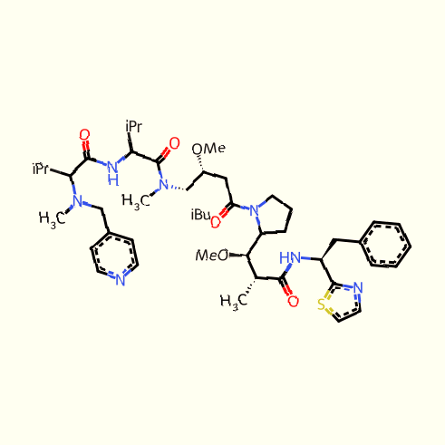 CC[C@H](C)[C@@H]([C@@H](CC(=O)N1CCCC1[C@H](OC)[C@@H](C)C(=O)N[C@@H](Cc1ccccc1)c1nccs1)OC)N(C)C(=O)C(NC(=O)C(C(C)C)N(C)Cc1ccncc1)C(C)C